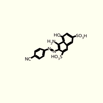 N#Cc1ccc(N=Nc2c(S(=O)(=O)O)cc3cc(S(=O)(=O)O)cc(O)c3c2N)cc1